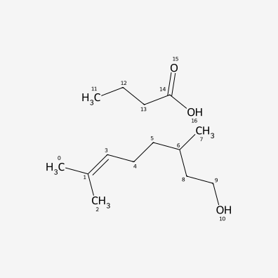 CC(C)=CCCC(C)CCO.CCCC(=O)O